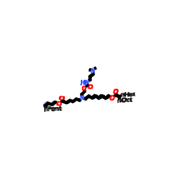 CCCCC/C=C\CCOC(=O)CCCCCN(CCCCCCCCOC(=O)C(CCCCCC)CCCCCCCC)CCOC(=O)NCCCN(C)C